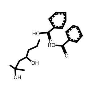 CCCC(O)CC(C)(C)O.O=C(O)c1ccccc1.O=C(O)c1ccccc1